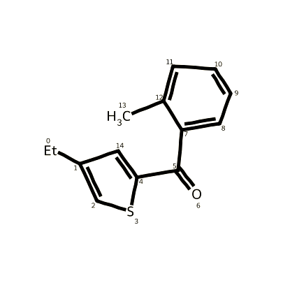 CCc1csc(C(=O)c2ccccc2C)c1